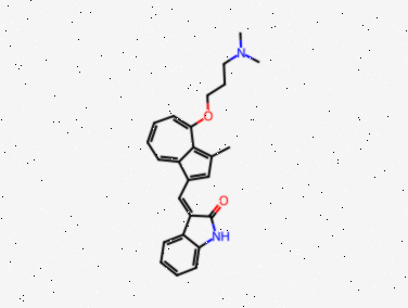 Cc1cc(C=C2C(=O)Nc3ccccc32)c2ccccc(OCCCN(C)C)c1-2